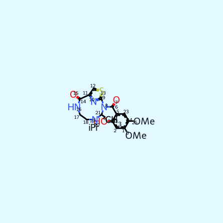 COc1cc(O)c(C(=O)N2c3nc(cs3)C(=O)NCCN(C(C)C)C2C)cc1OC